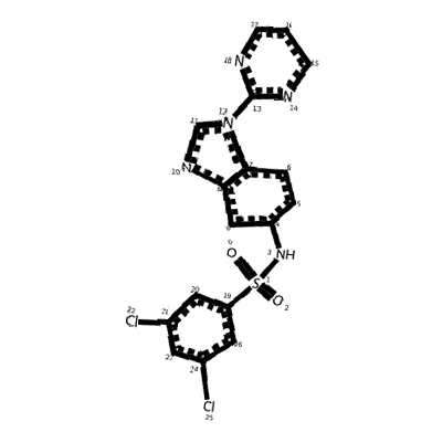 O=S(=O)(Nc1ccc2c(c1)ncn2-c1ncccn1)c1cc(Cl)cc(Cl)c1